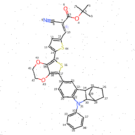 CC(C)(C)OC(=O)/C(C#N)=C/c1ccc(-c2sc(-c3ccc4c(c3)C3C5CCC(C5)C3N4c3ccccc3)c3c2OCCO3)s1